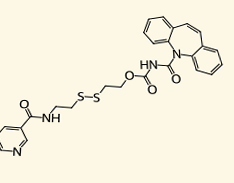 O=C(NC(=O)N1c2ccccc2C=Cc2ccccc21)OCCSSCCNC(=O)c1cccnc1